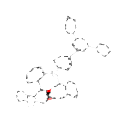 c1ccc(-c2cc(-c3ccccc3)cc(-c3ccc(N(c4ccccc4-c4cccc5oc6ccccc6c45)c4cccc5ccccc45)cc3)c2)cc1